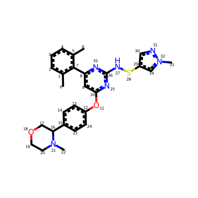 Cc1cccc(C)c1-c1cc(Oc2ccc(C3COCCN3C)cc2)nc(NSc2cnn(C)c2)n1